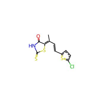 CC(C=Cc1ccc(Cl)s1)=C1SC(=S)NC1=O